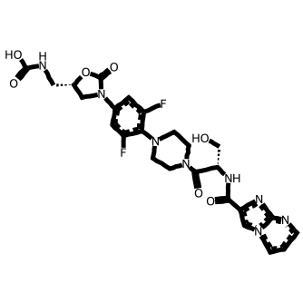 O=C(O)NC[C@H]1CN(c2cc(F)c(N3CCN(C(=O)[C@H](CO)NC(=O)c4cn5cccnc5n4)CC3)c(F)c2)C(=O)O1